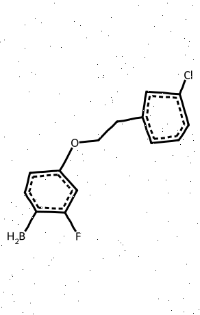 Bc1ccc(OCCc2cccc(Cl)c2)cc1F